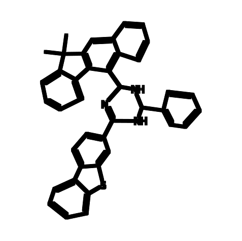 CC1(C)c2ccccc2-c2c1cc1ccccc1c2C1N=C(c2ccc3c(c2)sc2ccccc23)NC(c2ccccc2)N1